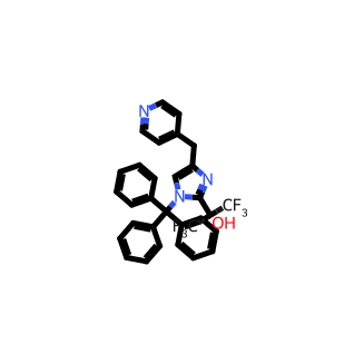 OC(c1nc(Cc2ccncc2)cn1C(c1ccccc1)(c1ccccc1)c1ccccc1)(C(F)(F)F)C(F)(F)F